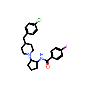 O=C(NC1CCCC1N1CCC(Cc2ccc(Cl)cc2)CC1)c1ccc(I)cc1